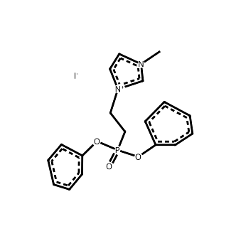 Cn1cc[n+](CCP(=O)(Oc2ccccc2)Oc2ccccc2)c1.[I-]